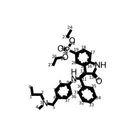 CCCN(C)Cc1ccc(NC(=C2C(=O)Nc3ccc(P(=O)(OCC)OCC)cc32)c2ccccc2)cc1